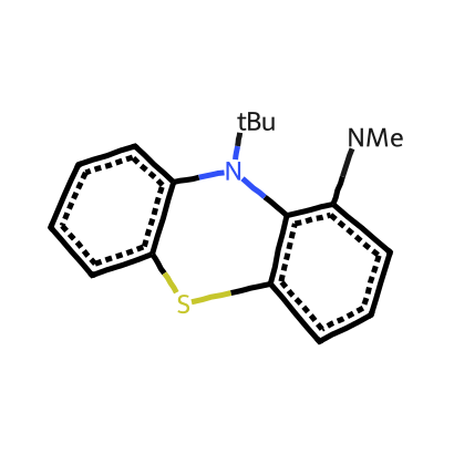 CNc1cccc2c1N(C(C)(C)C)c1ccccc1S2